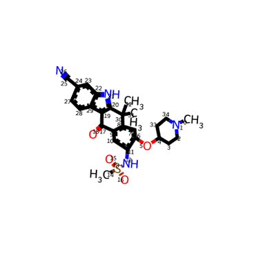 CN1CCC(Oc2cc3c(cc2NS(C)(=O)=O)C(=O)c2c([nH]c4cc(C#N)ccc24)C3(C)C)CC1